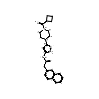 O=C(Cc1ccc2ccccc2c1)Nc1cc(C2CCN(C(=O)C3CCC3)CC2)n[nH]1